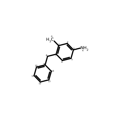 Cc1cc(N)ccc1Cc1cc[c]cc1